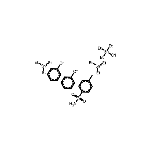 C[CH2][Sn+]([CH2]C)[CH2]C.C[CH2][Sn+]([CH2]C)[CH2]C.C[CH2][Sn]([C]#N)([CH2]C)[CH2]C.Cc1ccc(S(N)(=O)=O)cc1.[O-]c1ccccc1.[O-]c1ccccc1